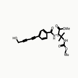 COC(=O)[C@@H](NC(=O)c1ccc(C#CC#CCO)cc1)C(C)(C)NC(=O)OC(C)(C)C